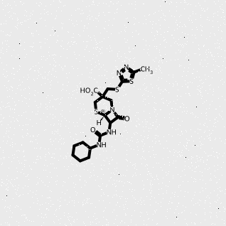 Cc1nnc(SCC2(C(=O)O)CS[C@@H]3C(NC(=O)NC4CCCCC4)C(=O)N3C2)s1